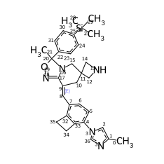 Cc1cn(-c2ccc(/C=C3\CC4(CNC4)CN4C3=NOC4(C)c3ccc([Si](C)(C)C)cc3)c3c2CC3)cn1